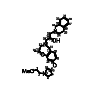 COCCN1CC[C@@H](Oc2ccc3c(c2)O[C@H](C)CN(C[C@H](O)CN2CCc4ccccc4C2)C3)C1